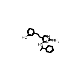 CC(Nc1nc(N)ncc1CCc1cccc(O)c1)c1ccccc1